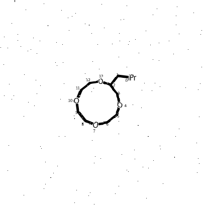 CC(C)CC1COCCOCCOCCO1